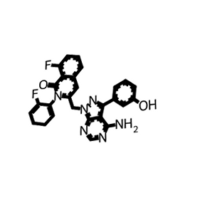 Nc1ncnc2c1c(-c1cccc(O)c1)nn2Cc1cc2cccc(F)c2c(=O)n1C1=CCCC=C1F